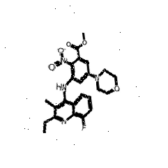 CCc1nc2c(F)cccc2c(Nc2cc(N3CCOCC3)cc(C(=O)OC)c2[N+](=O)[O-])c1C